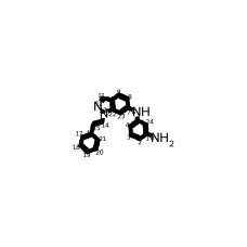 Nc1cccc(Nc2ccc3cnn(C=Cc4ccccc4)c3c2)c1